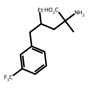 CCC(Cc1cccc(C(F)(F)F)c1)CC(C)(N)C(=O)O